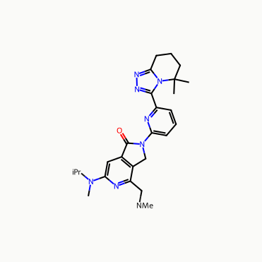 CNCc1nc(N(C)C(C)C)cc2c1CN(c1cccc(-c3nnc4n3C(C)(C)CCC4)n1)C2=O